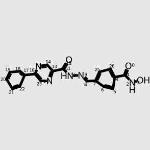 O=C(NO)c1ccc(/C=N/NC(=O)c2cnc(-c3ccccc3)cn2)cc1